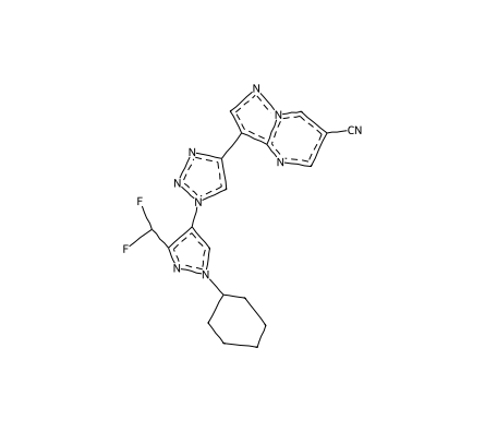 N#Cc1cnc2c(-c3cn(-c4cn(C5CCCCC5)nc4C(F)F)nn3)cnn2c1